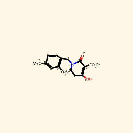 CCOC(=O)C1=C(O)CCN(Cc2ccc(OC)cc2OC)C1=O